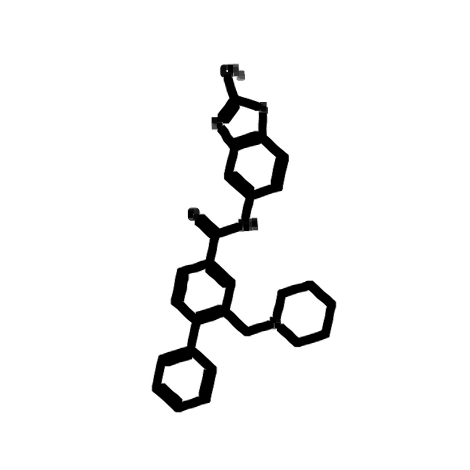 Cc1nc2cc(NC(=O)c3ccc(-c4ccccc4)c(CN4CCCCC4)c3)ccc2s1